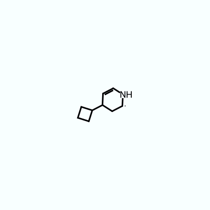 [CH]1CC(C2CCC2)C=CN1